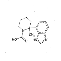 CC1(c2cccc3nc[nH]c23)CCCCN1C(=O)O